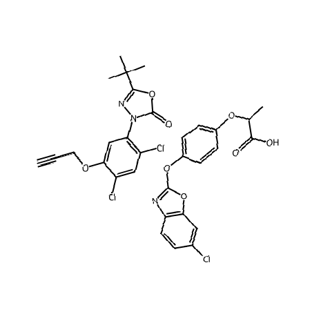 C#CCOc1cc(-n2nc(C(C)(C)C)oc2=O)c(Cl)cc1Cl.CC(Oc1ccc(Oc2nc3ccc(Cl)cc3o2)cc1)C(=O)O